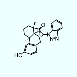 C[C@]1(C(=O)On2nnc3ccccc32)CCC[C@]2(C)c3cc(O)ccc3CC[C@@H]12